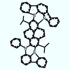 CC(C)c1c2c(c3ccc4c(C(C)C)c5c(c6ccc1c3c46)-n1c3ccccc3c3ccc4c(c31)B5c1ccccc1-4)N(c1ccccc1)c1cccc3c1B2c1ccccc1-3